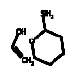 C=CO.[SiH3]C1CCCCO1